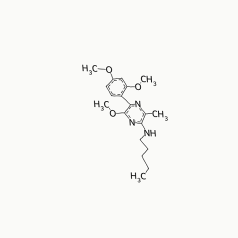 CCCCCNc1nc(OC)c(-c2ccc(OC)cc2OC)nc1C